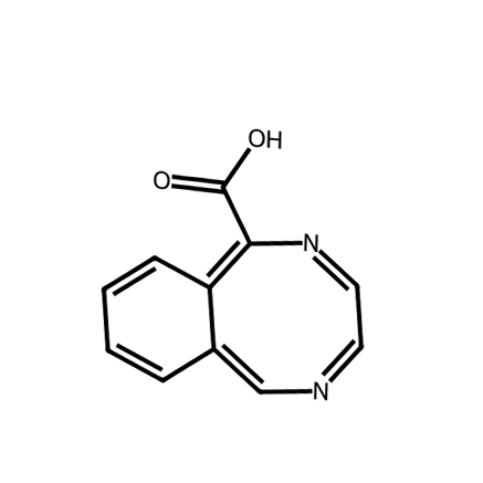 O=C(O)C1=c2ccccc2=CN=CC=N1